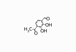 CC(=O)c1ccc(C=O)c(O)c1O